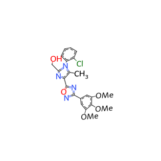 COc1cc(-c2noc(-c3nc(CO)n(-c4ccccc4Cl)c3C)n2)cc(OC)c1OC